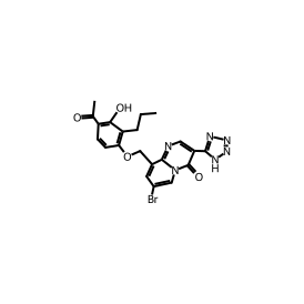 CCCc1c(OCc2cc(Br)cn3c(=O)c(-c4nnn[nH]4)cnc23)ccc(C(C)=O)c1O